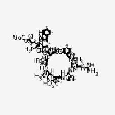 COOC(=O)CC[C@@H](NC(=O)[C@H](Cc1c[nH]c2ccccc12)NC(=O)C1NC(=O)[C@H](CC(C)C)NC(=O)[C@H]([C@@H](C)O)NC(=O)[C@H](CC(=O)O)NC(=O)[C@H](CO)NC(=O)[C@H](CCCNC(=N)N)N(C)C(=O)c2ccccc2CSC1(C)C)C(N)=O